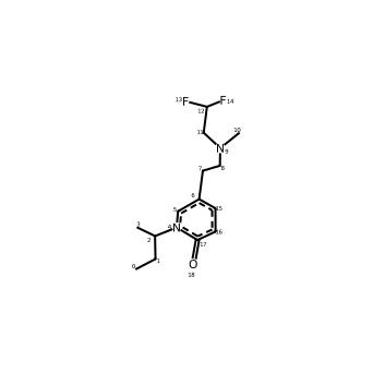 CCC(C)n1cc(CCN(C)CC(F)F)ccc1=O